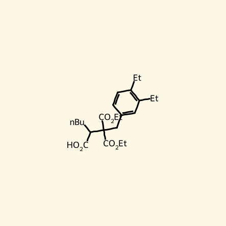 CCCCC(C(=O)O)C(Cc1ccc(CC)c(CC)c1)(C(=O)OCC)C(=O)OCC